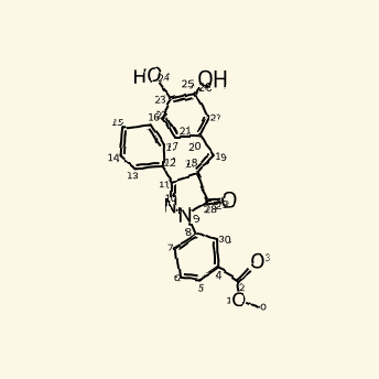 COC(=O)c1cccc(N2N=C(c3ccccc3)/C(=C\c3ccc(O)c(O)c3)C2=O)c1